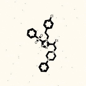 CCC(CN1CCN(c2ccccc2)CC1)c1nnc(S(=O)(=O)c2ccccc2)n1CCc1ccc(Cl)cc1